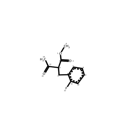 COC(=O)C(Cc1ccccc1F)C(C)=O